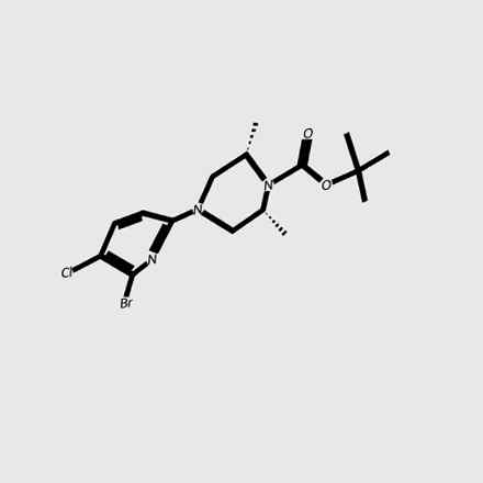 C[C@@H]1CN(c2ccc(Cl)c(Br)n2)C[C@H](C)N1C(=O)OC(C)(C)C